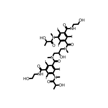 CC(O)C(=O)N(C)c1c(I)c(C(=O)NCCO)c(I)c(C(=O)N(C)CC(O)CN(C)C(=O)c2c(I)c(C(=O)NCCO)c(I)c(N(C)C(=O)C(C)O)c2I)c1I